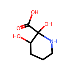 O=C(O)C1(O)NCCCC1O